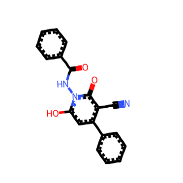 N#Cc1c(-c2ccccc2)cc(O)n(NC(=O)c2ccccc2)c1=O